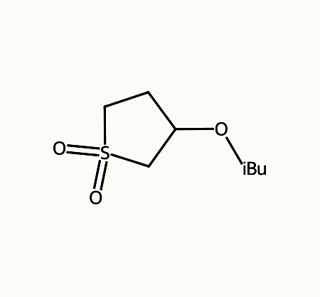 CCC(C)OC1CCS(=O)(=O)C1